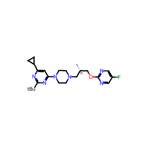 C[C@H](COc1ncc(F)cn1)CN1CCN(c2cc(C3CC3)nc(C(C)(C)C)n2)CC1